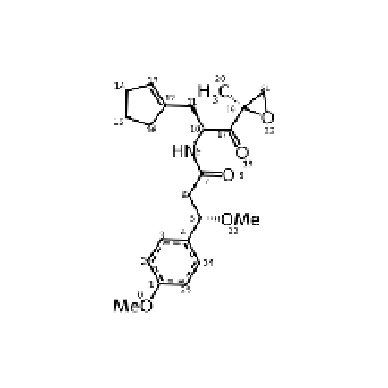 COc1ccc([C@H](CC(=O)N[C@@H](CC2=CCCC2)C(=O)[C@@]2(C)CO2)OC)cc1